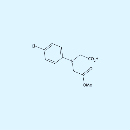 COC(=O)CN(CC(=O)O)c1ccc(Cl)cc1